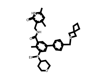 CCN(c1cc(-c2ccc(CN3CC4(CCC4)C3)cc2)cc(C(=O)NCc2c(C)cc(C)[nH]c2=O)c1C)C1CCOCC1